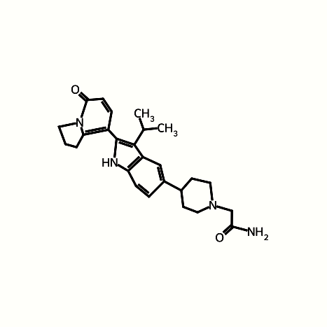 CC(C)c1c(-c2ccc(=O)n3c2CCC3)[nH]c2ccc(C3CCN(CC(N)=O)CC3)cc12